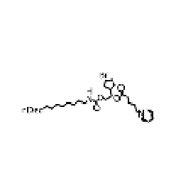 CCCCCCCCCCCCCCCCCCNC(=O)OCC(OC(=O)CCCC[n+]1ccccc1)C1CCCC1.[Br-]